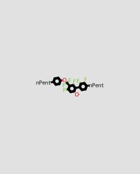 CCCCCc1ccc(OC(F)(F)c2c(F)cc([O])c(-c3ccc(CCCCC)c(F)c3F)c2F)cc1